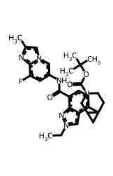 CCn1cc2c(C34CCN(C(=O)OC(C)(C)C)CC3C4)ccc(C(=O)Nc3cc(F)c4nc(C)cn4c3)c2n1